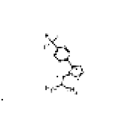 CC(C)Cn1nccc1-c1ccc(C(F)(F)F)cc1